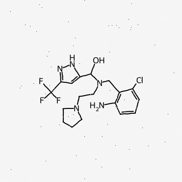 Nc1cccc(Cl)c1CN(CCN1CCCC1)C(O)c1cc(C(F)(F)F)n[nH]1